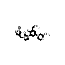 C=Cc1cc(N2CCO[C@H](C)C2)cc(-n2ccn(Cc3cnn(CC)c3)c2=O)c1F